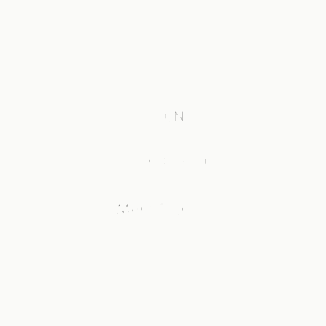 CCC(C=O)(CCC#N)CCC(=O)OC